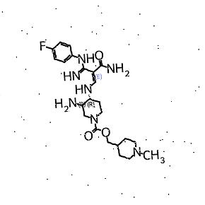 CN1CCC(COC(=O)N2CC[C@@H](N/C=C(\C(=N)Nc3ccc(F)cc3)C(N)=O)[C@H](N)C2)CC1